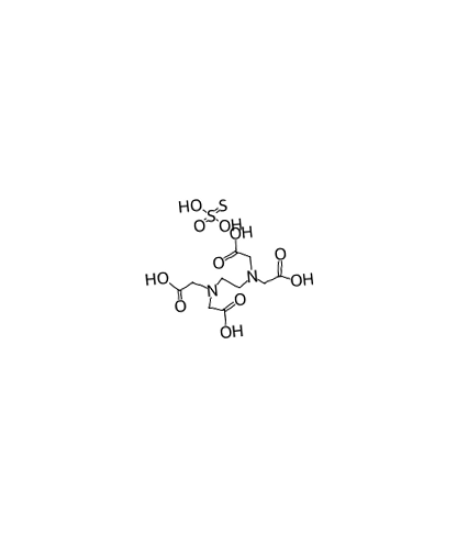 O=C(O)CN(CCN(CC(=O)O)CC(=O)O)CC(=O)O.O=S(O)(O)=S